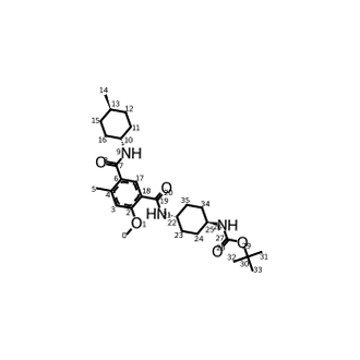 COc1cc(C)c(C(=O)N[C@H]2CC[C@H](C)CC2)cc1C(=O)N[C@H]1CC[C@H](NC(=O)OC(C)(C)C)CC1